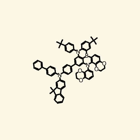 CC(C)(C)c1ccc(N2c3ccc(C(C)(C)C)cc3B3c4ccc5c(c4N(c4cccc6c4OCCO6)c4cc(-c6ccc(N(c7ccc(-c8ccccc8)cc7)c7ccc8c(c7)C(C)(C)c7ccccc7-8)cc6)cc2c43)OCCO5)cc1